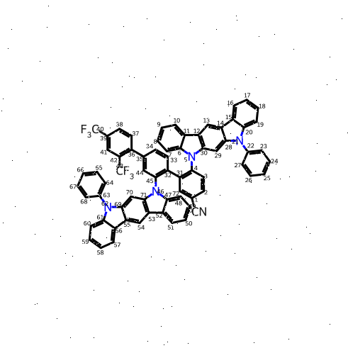 N#Cc1ccc(-n2c3ccccc3c3cc4c5ccccc5n(-c5ccccc5)c4cc32)c(-c2ccc(-c3ccc(C(F)(F)F)cc3C(F)(F)F)cc2-n2c3ccccc3c3cc4c5ccccc5n(-c5ccccc5)c4cc32)c1